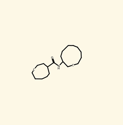 O=C(NC1CCCCCCCCCC1)C1CCCCCCCC1